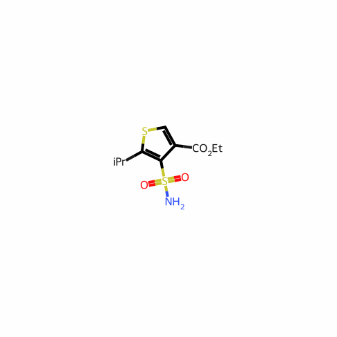 CCOC(=O)c1csc(C(C)C)c1S(N)(=O)=O